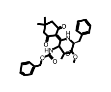 COC(=O)[C@H](Cc1ccccc1)NC(=C1C(=O)CC(C)(C)CC1=O)C(NC(=O)OCc1ccccc1)C(C)C